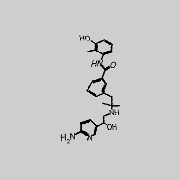 Cc1c(O)cccc1NC(=O)c1cccc(CC(C)(C)NC[C@@H](O)c2ccc(N)nc2)c1